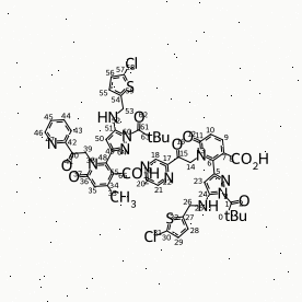 CC(C)(C)C(=O)n1nc(-c2c(C(=O)O)ccc(=O)n2CC(=O)c2cnccn2)cc1NCc1ccc(Cl)s1.Cc1cc(=O)n(CC(=O)c2ccccn2)c(-c2cc(NCc3ccc(Cl)s3)n(C(=O)C(C)(C)C)n2)c1C(=O)O